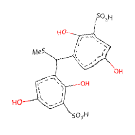 CSC(c1cc(O)cc(S(=O)(=O)O)c1O)c1cc(O)cc(S(=O)(=O)O)c1O